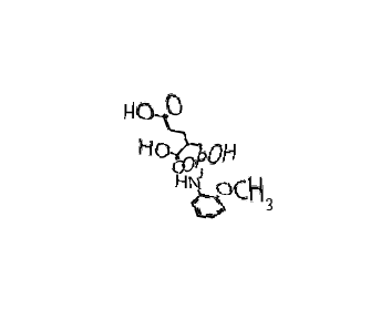 COc1ccccc1NCP(=O)(O)CC(CCC(=O)O)C(=O)O